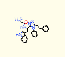 NCC(=O)NC(Cc1c[nH]c2ccccc12)c1nnc(CCc2ccccc2)n1-c1ccccc1